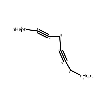 CCCCCCCC#C[CH]C#CCCCCCCCC